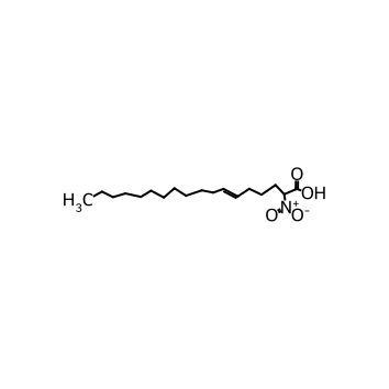 CCCCCCCCCCCC=CCCCC(C(=O)O)[N+](=O)[O-]